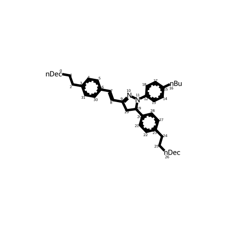 CCCCCCCCCCCCc1ccc(C=CC2=NN(c3ccc(CCCC)cc3)C(c3ccc(CCCCCCCCCCCC)cc3)C2)cc1